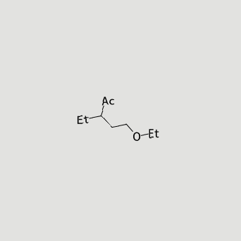 CCOCCC(CC)C(C)=O